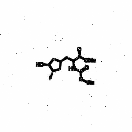 COC(=O)C(C[C@@H]1C[C@H](O)[C@@H](F)C1)NC(=O)OC(C)(C)C